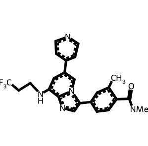 CNC(=O)c1ccc(-c2cnc3c(NCCC(F)(F)F)cc(-c4ccncc4)cn23)cc1C